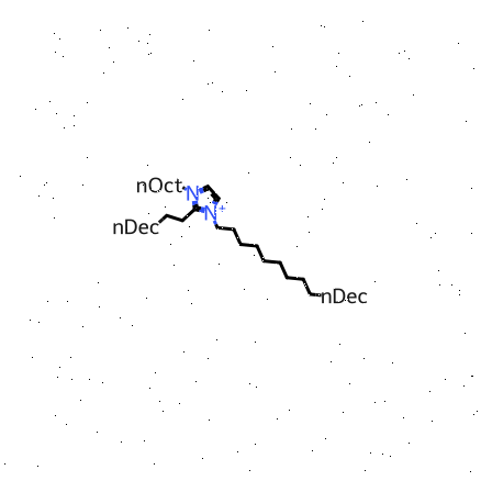 CCCCCCCCCCCCCCCCCCC[n+]1ccn(CCCCCCCC)c1CCCCCCCCCCCC